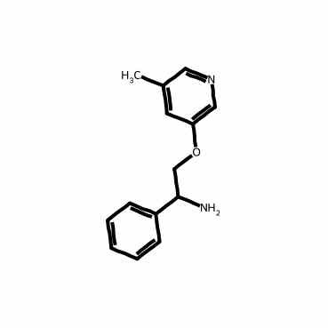 Cc1cncc(OCC(N)c2ccccc2)c1